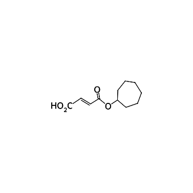 O=C(O)/C=C/C(=O)OC1CCCCCC1